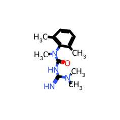 Cc1cccc(C)c1N(C)C(=O)NC(=N)N(C)C